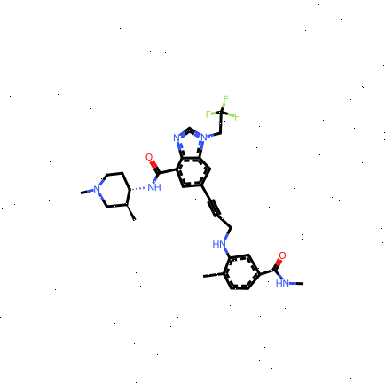 CNC(=O)c1ccc(C)c(NCC#Cc2cc(C(=O)N[C@H]3CCN(C)C[C@@H]3C)c3ncn(CC(F)(F)F)c3c2)c1